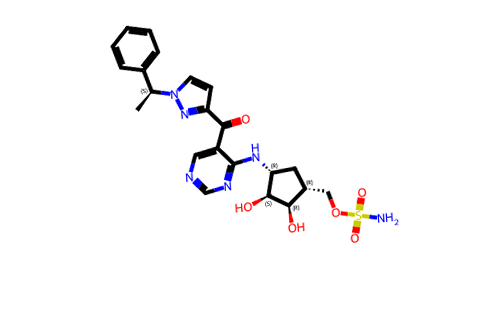 C[C@@H](c1ccccc1)n1ccc(C(=O)c2cncnc2N[C@@H]2C[C@H](COS(N)(=O)=O)[C@@H](O)[C@H]2O)n1